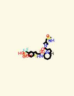 CS(=N)(=O)CC1CN(C(=O)C2CC[C@@H]3CCCC[C@H](NC(=O)c4cc5cc(C(F)(F)P(=O)(O)O)ccc5s4)C(=O)N23)C1